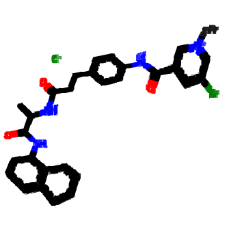 CCC[n+]1cc(Br)cc(C(=O)Nc2ccc(CCC(=O)NC(C)C(=O)Nc3cccc4ccccc34)cc2)c1.[Cl-]